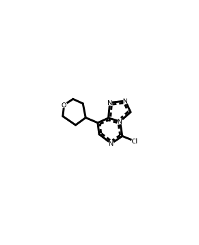 Clc1ncc(C2CCOCC2)c2nncn12